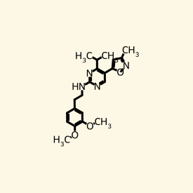 COc1ccc(CCNc2ncc(-c3cc(C)no3)c(C(C)C)n2)cc1OC